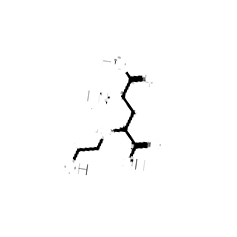 N[C@@H](CC(OCCO)C(=O)O)C(=O)O